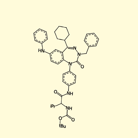 CC(C)C(NC(=O)OC(C)(C)C)C(=O)Nc1ccc(N2C(=O)N(Cc3ccccc3)N=C(C3CCCCC3)c3cc(Nc4ccccc4)ccc32)cc1